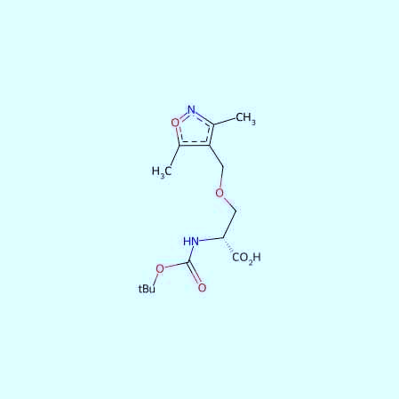 Cc1noc(C)c1COC[C@@H](NC(=O)OC(C)(C)C)C(=O)O